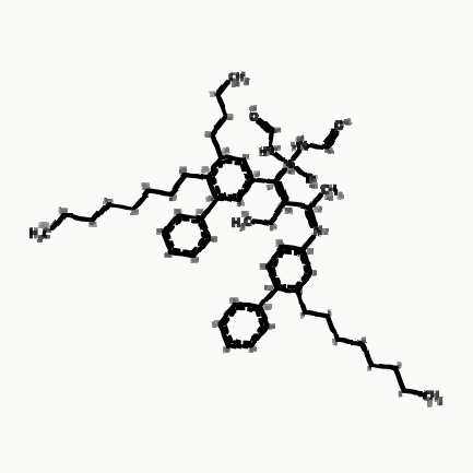 CCCCCCCCc1cc(N=C(C)C(CC)=[C](c2cc(CCCC)c(CCCCCCCC)c(-c3ccccc3)c2)[Ni]([Br])([NH]C=O)[NH]C=O)ccc1-c1ccccc1